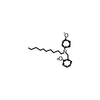 CCCCCCCCCCN(Cc1ccccc1OC)c1ccc(OC)cc1